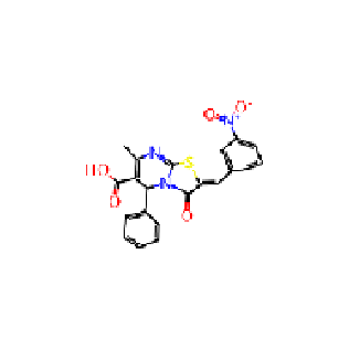 CC1=C(C(=O)O)C(c2ccccc2)n2c(sc(=Cc3cccc([N+](=O)[O-])c3)c2=O)=N1